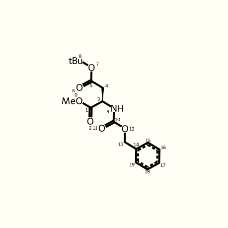 COC(=O)[C@@H](CC(=O)OC(C)(C)C)NC(=O)OCc1ccccc1